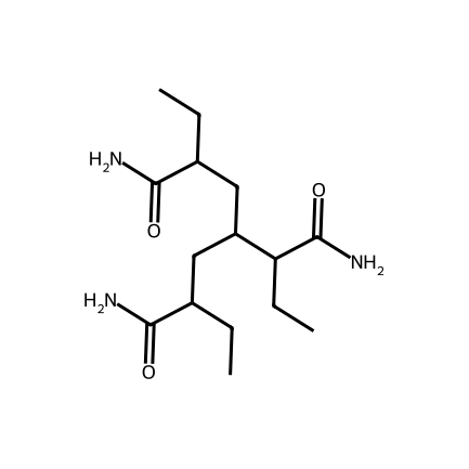 CCC(CC(CC(CC)C(N)=O)C(CC)C(N)=O)C(N)=O